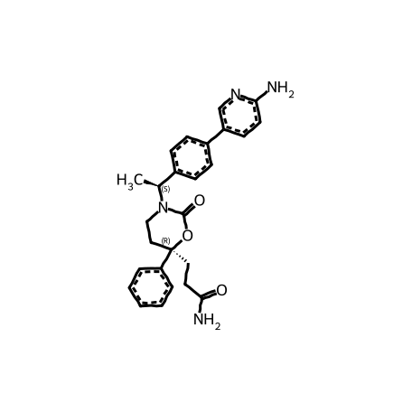 C[C@@H](c1ccc(-c2ccc(N)nc2)cc1)N1CC[C@](CCC(N)=O)(c2ccccc2)OC1=O